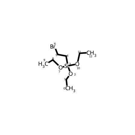 CCO[Si](CCBr)(OCC)OCC